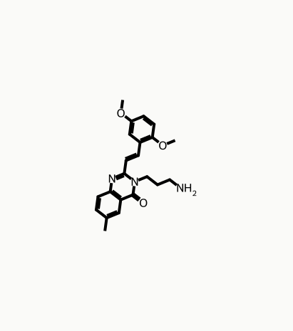 COc1ccc(OC)c(/C=C/c2nc3ccc(C)cc3c(=O)n2CCCN)c1